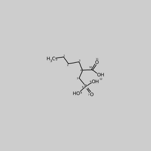 CCCCC(CP(=O)(O)O)C(=O)O